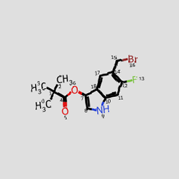 CC(C)(C)C(=O)Oc1c[nH]c2cc(F)c(CBr)cc12